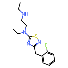 CCNCCN(CC)c1nc(Cc2ccccc2F)ns1